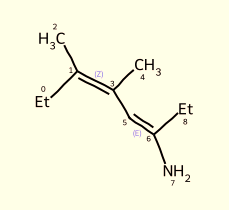 CC/C(C)=C(C)\C=C(\N)CC